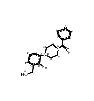 O=C(c1ccncc1)N1CCN(c2cccc(CO)c2F)CC1